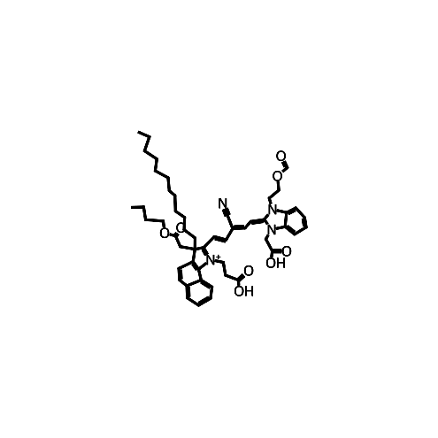 CCCCCCCCCCCCC1(CC(=O)OCCCC)C(/C=C/C(C#N)=C/C=C2/N(CCOC=O)c3ccccc3N2CC(=O)O)=[N+](CCC(=O)O)c2c1ccc1ccccc21